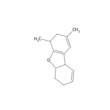 CC1=CC2=C(OC3CCC=CC23)C(C)C1